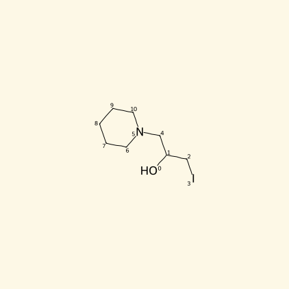 OC(CI)CN1CCCCC1